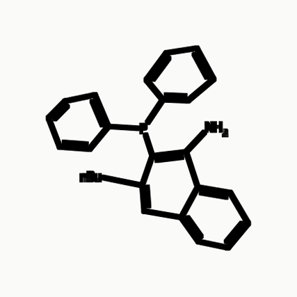 CCCCc1cc2ccccc2c(N)c1P(c1ccccc1)c1ccccc1